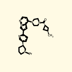 CC(C)N1CCC[C@@H](c2ccc(-c3cc4c(N5CCN(C(=O)[C@H]6C[C@H](C)C6)CC5)ccnn4c3)nc2)C1